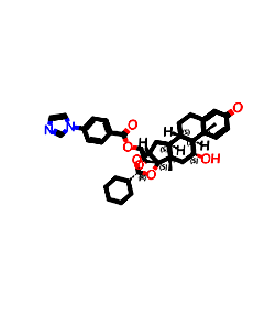 C[C@]12C=CC(=O)C=C1CC[C@@H]1[C@@H]2[C@@H](O)C[C@@]2(C)[C@H]1C[C@H]1O[C@@H](C3CCCCC3)O[C@]12C(=O)COC(=O)c1ccc(-n2ccnc2)cc1